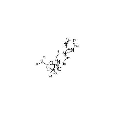 CC(C)COP(=O)(N1CCN(c2ncccn2)CC1)C(C)(C)C